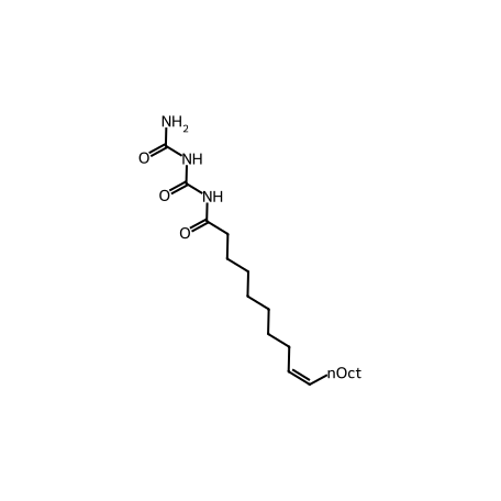 CCCCCCCC/C=C\CCCCCCCC(=O)NC(=O)NC(N)=O